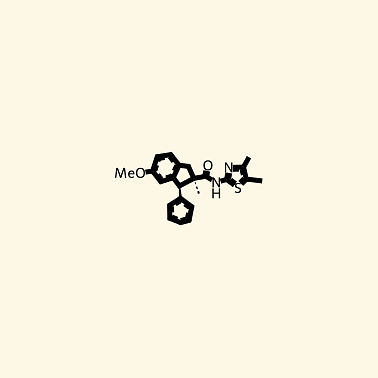 COc1ccc2c(c1)[C@H](c1ccccc1)[C@](C)(C(=O)Nc1nc(C)c(C)s1)C2